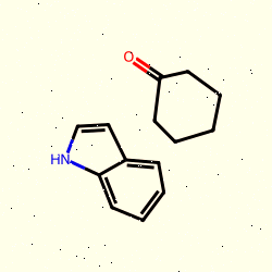 O=C1CCCCC1.c1ccc2[nH]ccc2c1